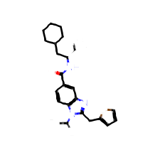 CCC(CC)n1c(Cc2cccs2)nc2cc(C(=O)N[C@H](CC(=O)O)CC3CCCCC3)ccc21